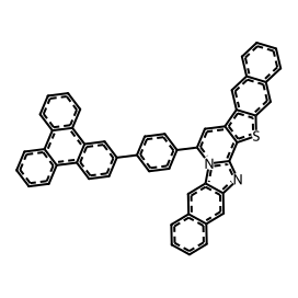 c1ccc2cc3c(cc2c1)nc1c2sc4cc5ccccc5cc4c2cc(-c2ccc(-c4ccc5c6ccccc6c6ccccc6c5c4)cc2)n31